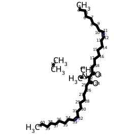 CCC.CCCCCCCC/C=C\CCCCCCCC(=O)C(C(=O)CCCCCCC/C=C\CCCCCCCC)N(C)C